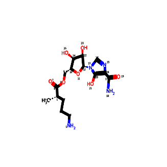 C[C@@H](CCCN)C(=O)OC[C@H]1O[C@@H](n2cnc(C(N)=O)c2O)[C@H](O)[C@@H]1O